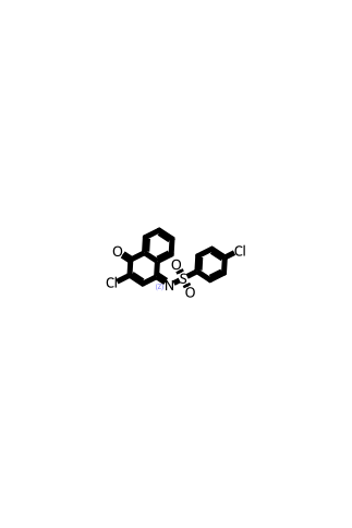 O=C1C(Cl)=C/C(=N/S(=O)(=O)c2ccc(Cl)cc2)c2ccccc21